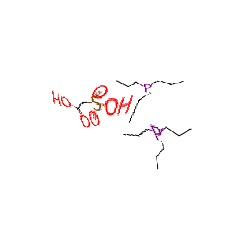 CCCP(CCC)CCC.CCCP(CCC)CCC.O=C(O)CS(=O)(=O)O